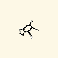 O=[N+]([O-])c1c(Cl)cc2c(c1Br)CCO2